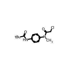 CN(C(=O)CCl)c1ccc(NC(=O)C(C)(C)C)cc1